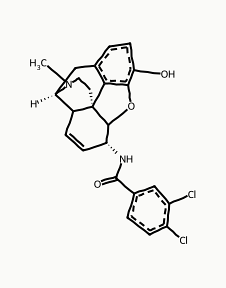 CN1CC[C@]23c4c5ccc(O)c4OC2[C@H](NC(=O)c2ccc(Cl)c(Cl)c2)C=CC3[C@H]1C5